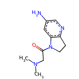 CN(C)CC(=O)N1CCc2ncc(N)cc21